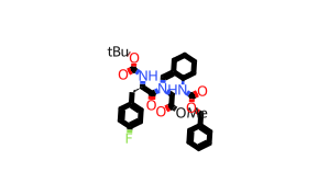 COC(=O)CN(/C=C1/CCCC[C@H]1NC(=O)OCc1ccccc1)C(=O)[C@H](Cc1ccc(F)cc1)NC(=O)OC(C)(C)C